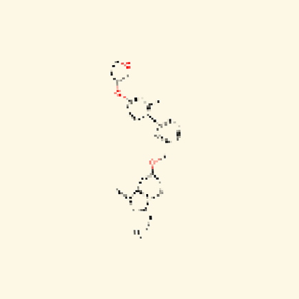 C=C1CC(CC(=O)O)c2ccc(OCc3cccc(-c4c(C)cc(OC5CCOC5)cc4C)c3)cc21